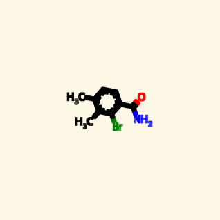 Cc1ccc(C(N)=O)c(Br)c1C